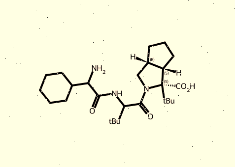 CC(C)(C)C(NC(=O)C(N)C1CCCCC1)C(=O)N1C[C@@H]2CCC[C@@H]2[C@@]1(C(=O)O)C(C)(C)C